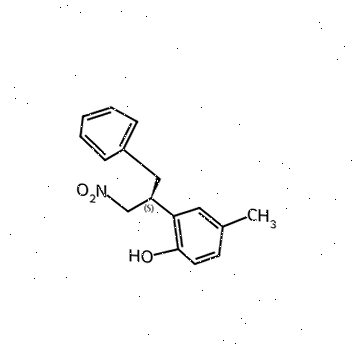 Cc1ccc(O)c([C@H](Cc2ccccc2)C[N+](=O)[O-])c1